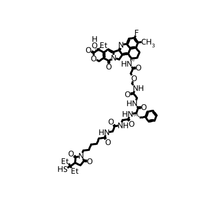 CCC(S)(CC)C1CC(=O)N(CCCCCC(=O)NCC(=O)NCC(=O)N[C@@H](Cc2ccccc2)C(=O)NCC(=O)NCOCC(=O)N[C@H]2CCc3c(C)c(F)cc4nc5c(c2c34)Cn2c-5cc3c(c2=O)COC(=O)[C@]3(O)CC)C1=O